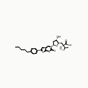 CCCCCc1ccc(-c2cc3cn([C@H]4C[C@H](O)[C@@H](C[C@@](N)(C(=O)O)C(C)C)O4)c(=O)nc3o2)cc1